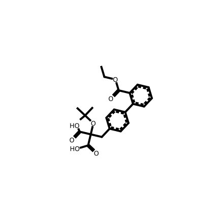 CCOC(=O)c1ccccc1-c1ccc(CC(OC(C)(C)C)(C(=O)O)C(=O)O)cc1